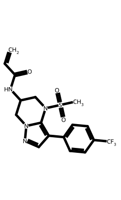 C=CC(=O)NC1CN(S(C)(=O)=O)c2c(-c3ccc(C(F)(F)F)cc3)cnn2C1